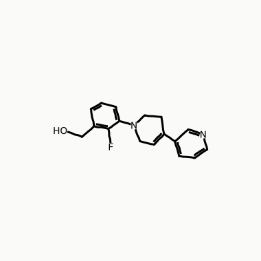 OCc1cccc(N2CC=C(c3cccnc3)CC2)c1F